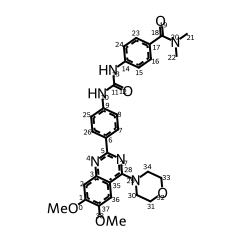 COc1cc2nc(-c3ccc(NC(=O)Nc4ccc(C(=O)N(C)C)cc4)cc3)nc(N3CCOCC3)c2cc1OC